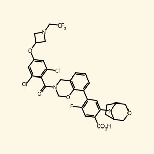 O=C(O)c1cc(F)c(-c2cccc3c2OCN(C(=O)c2c(Cl)cc(OC4CN(CC(F)(F)F)C4)cc2Cl)C3)cc1N1C2CCC1COC2